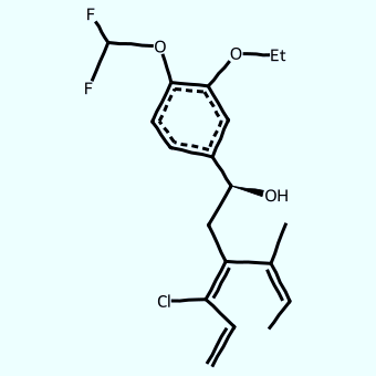 C=C/C(Cl)=C(C[C@H](O)c1ccc(OC(F)F)c(OCC)c1)\C(C)=C/C